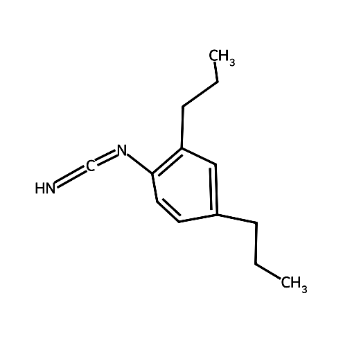 CCCc1ccc(N=C=N)c(CCC)c1